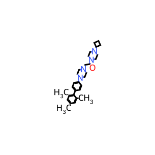 Cc1cc(C)c(-c2ccc(N3CCN(CC(=O)N4CCN(C5CCC5)CC4)CC3)cc2)c(C)c1